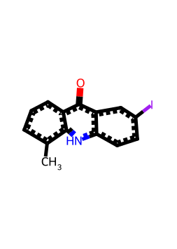 Cc1cccc2c(=O)c3cc(I)ccc3[nH]c12